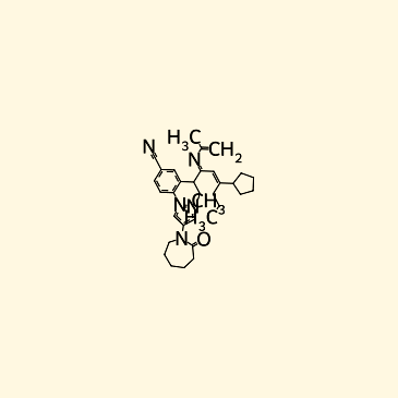 C=C(C)/N=C(\C=C(/CCC)C1CCCC1)C(CC)c1cc(C#N)ccc1-n1cc(N2CCCCCC2=O)cn1